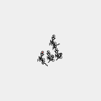 CCCCN(C(=O)c1ccccn1)c1nnc(-c2cc(C)c(OC)c(C)c2)s1.CCCCN(C(=O)c1cccnc1)c1nnc(-c2cc(C)c(OC)c(C)c2)s1.CCCCc1ccc(F)nc1C(=O)Nc1nnc(-c2cc(C)c(OC)c(C)c2)s1.CCCCc1cccc(C(=O)Nc2nnc(-c3cc(C)c(OC)c(C)c3)s2)c1C